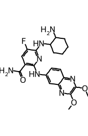 COc1nc2ccc(Nc3nc(NC4CCCCC4N)c(F)cc3C(N)=O)cc2nc1OC